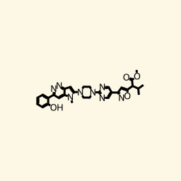 COC(=O)C(c1cc(-c2cnc(N3CCN(c4cc5nnc(-c6ccccc6O)cc5n4C)CC3)nc2)no1)C(C)C